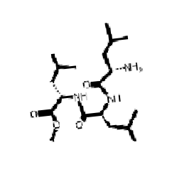 COC(=O)[C@H](CC(C)C)NC(=O)[C@H](CC(C)C)NC(=O)[C@@H](N)CC(C)C